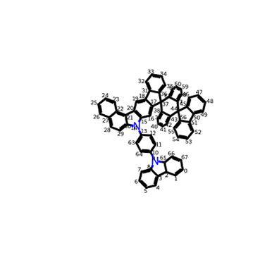 C1=CC2c3ccccc3N(c3ccc(-n4c5cc6c(cc5c5c7ccccc7ccc54)-c4ccccc4C64c5ccccc5C5(c6ccccc6-c6ccccc65)c5ccccc54)cc3)C2C=C1